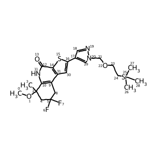 COC1(C)CC(F)(F)Cc2c1[nH]c(=O)c1sc(-c3cnn(COCC[Si](C)(C)C)c3)cc21